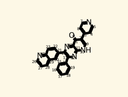 O=c1c(-c2ccncc2)c[nH]c2nc(-c3ccccc3)c(-c3ccc4ncccc4c3)nc12